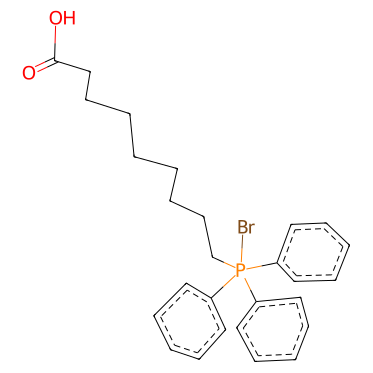 O=C(O)CCCCCCCCP(Br)(c1ccccc1)(c1ccccc1)c1ccccc1